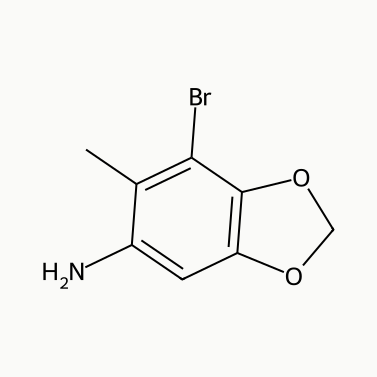 Cc1c(N)cc2c(c1Br)OCO2